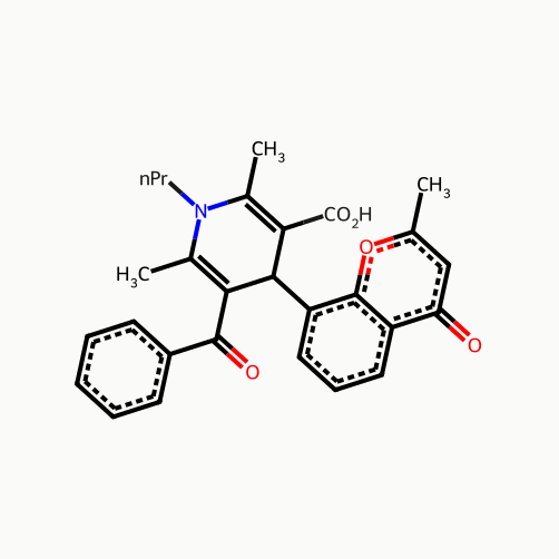 CCCN1C(C)=C(C(=O)O)C(c2cccc3c(=O)cc(C)oc23)C(C(=O)c2ccccc2)=C1C